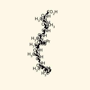 CCCC(=O)N(NC(=O)c1cc(NC(=O)c2nc(NC(=O)CCNC(=O)c3cc(NC(=O)c4nccn4C)cn3C)cn2C)cn1C)c1cn(C)c(C(=O)NCCC(=O)Nc2cc(C(=O)Nc3cn(C)c(C(=O)NCCC(=O)O)n3)n(C)c2)n1